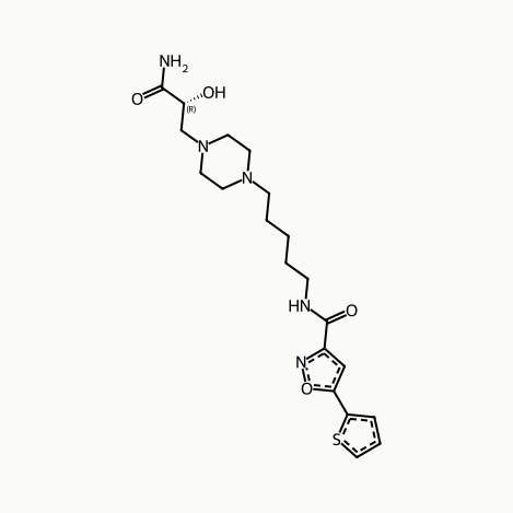 NC(=O)[C@H](O)CN1CCN(CCCCCNC(=O)c2cc(-c3cccs3)on2)CC1